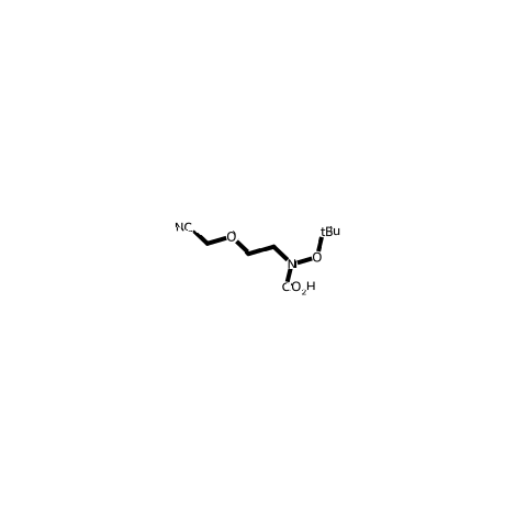 CC(C)(C)ON(CCOCC#N)C(=O)O